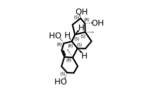 C[C@]12CC[C@H]3[C@@H]([C@@H](O)C=C4C[C@@H](O)CC[C@@]43C)[C@@H]1C[C@H](O)[C@@H]2O